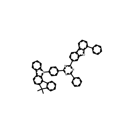 CC1(C)c2ccccc2-c2c1ccc1c3ccccc3n(-c3ccc(-c4nc(-c5ccccc5)nc(-c5ccc6c(c5)oc5c(-c7ccccc7)cccc56)n4)cc3)c21